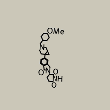 COC1CCC(CN2CCC3(c4ccc5c(c4)CN(C4CCC(=O)NC4=O)C5=O)CC3C2)CC1